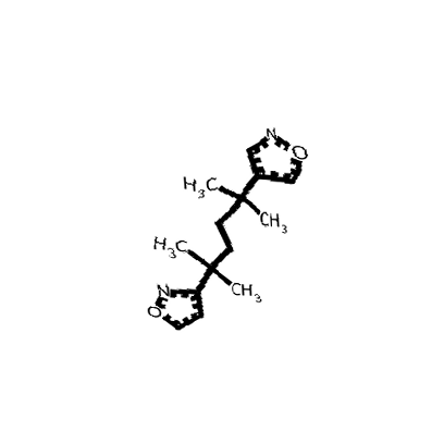 CC(C)(CCC(C)(C)c1ccon1)c1cnoc1